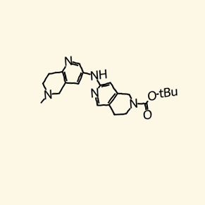 CN1CCc2ncc(Nc3cc4c(cn3)CCN(C(=O)OC(C)(C)C)C4)cc2C1